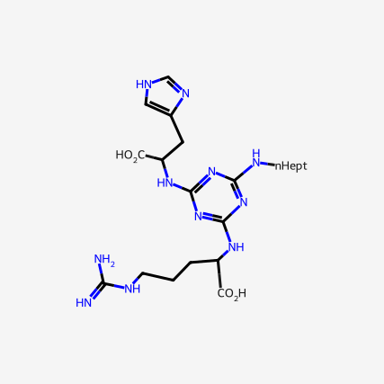 CCCCCCCNc1nc(NC(CCCNC(=N)N)C(=O)O)nc(NC(Cc2c[nH]cn2)C(=O)O)n1